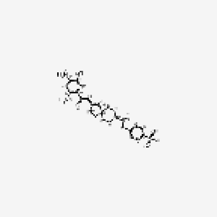 CS(=O)(=O)c1ccc(CC(=O)N2CCC3(CC2)CN/C(=C\C(=O)c2nc(Cl)c(N)nc2N)N3)cc1